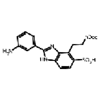 CCCCCCCCCCCCc1c(S(=O)(=O)O)ccc2[nH]c(-c3cccc(N)c3)nc12